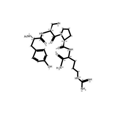 CC(=O)N[C@@H](Cc1ccc(O)cc1)C(=O)N[C@@H](CC(C)C)C(=O)N1CCC[C@H]1C(=O)NC(CCCNC(=N)N)C(N)=O